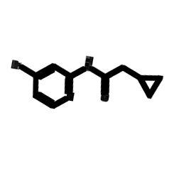 O=C(CC1CC1)Nc1cc(Br)ccn1